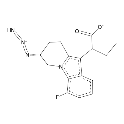 CCC(C(=O)[O-])c1c2n(c3c(F)cccc13)C[C@H](N=[N+]=N)CC2